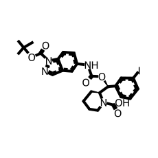 CC(C)(C)OC(=O)n1ncc2cc(NC(=O)O[C@@H](c3cccc(I)c3)[C@@H]3CCCCN3C(=O)O)ccc21